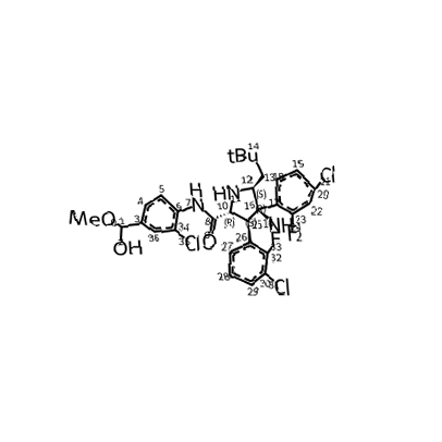 COC(O)c1ccc(NC(=O)[C@@H]2N[C@@H](CC(C)(C)C)[C@](N)(c3ccc(Cl)cc3F)[C@H]2c2cccc(Cl)c2F)c(Cl)c1